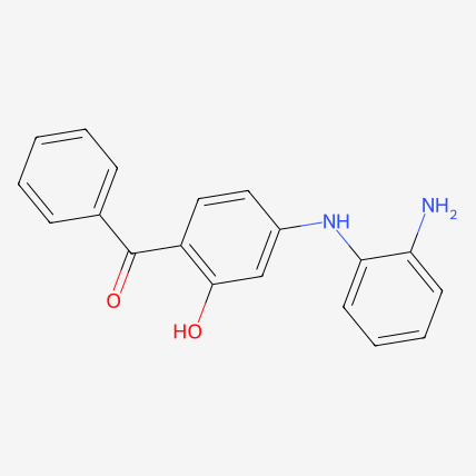 Nc1ccccc1Nc1ccc(C(=O)c2ccccc2)c(O)c1